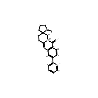 CN1CCCC12CCc1nc3cc(-c4ccccn4)ccc3c(=O)n1C2